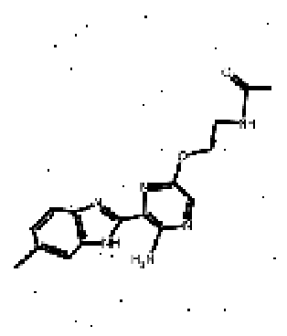 CC(=O)NCCOc1cnc(N)c(-c2nc3ccc(C)cc3[nH]2)n1